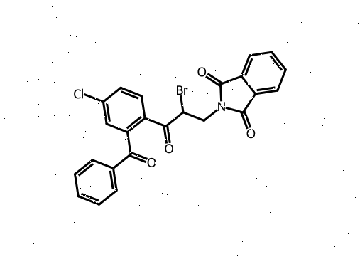 O=C(c1ccccc1)c1cc(Cl)ccc1C(=O)C(Br)CN1C(=O)c2ccccc2C1=O